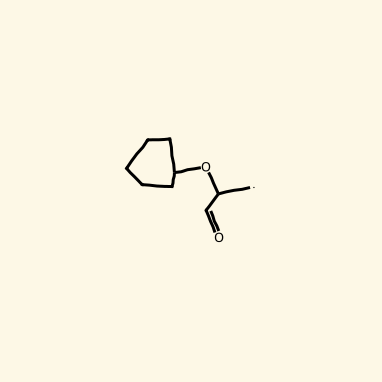 [CH2]C(C=O)OC1CCCCC1